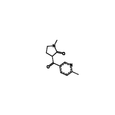 Cc1ccc(C(=O)C2CCN(C)C2=O)cn1